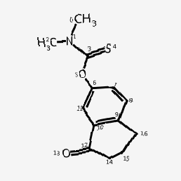 CN(C)C(=S)Oc1ccc2c(c1)C(=O)CCC2